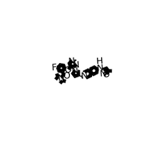 Cc1cc(NC2CCC3(CC2)CCN(C[C@@H]2CCN(c4ncncc4Oc4ccc(F)cc4C(=O)N(C(C)C)C(C)C)C2)CC3)no1